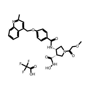 COCC(=O)N1C[C@H](C(=O)NO)[C@H](NC(=O)c2ccc(OCc3cc(C)nc4ccccc34)cc2)C1.O=C(O)C(F)(F)F